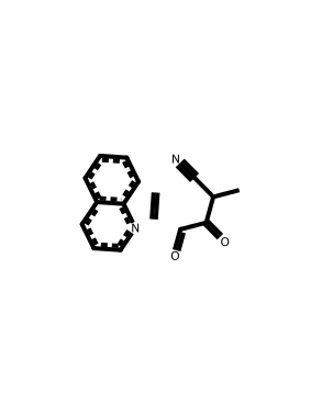 C=C.CC(C#N)C(=O)C=O.c1ccc2ncccc2c1